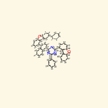 C1=CCCC(c2ccc3oc4cccc(-c5ccc(-c6nc(-c7ccccc7)nc(-c7cccc8oc9ccccc9c78)n6)c6ccccc56)c4c3c2)=C1